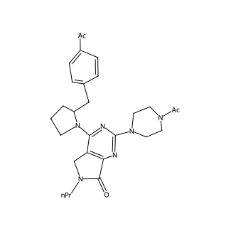 CCCN1Cc2c(nc(N3CCN(C(C)=O)CC3)nc2N2CCCC2Cc2ccc(C(C)=O)cc2)C1=O